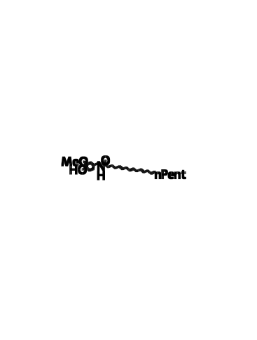 CCCCCC=CCC=CCC=CCC=CCCCC(=O)NCc1ccc(O)c(OC)c1